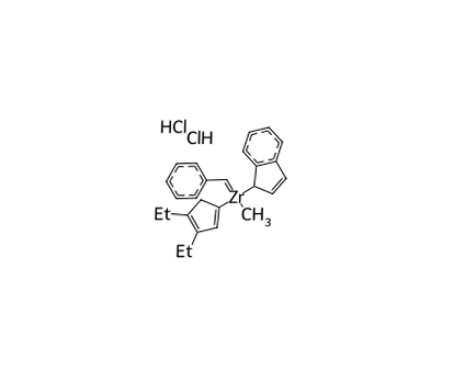 CCC1=C(CC)C[C]([Zr]([CH3])(=[CH]c2ccccc2)[CH]2C=Cc3ccccc32)=C1.Cl.Cl